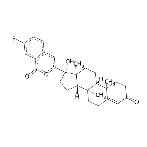 C[C@@]12CCC3=CC(=O)CC[C@]3(C)[C@H]1CC[C@@]1(C)[C@H]2CC[C@@]1(O)c1cc2ccc(F)cc2c(=O)o1